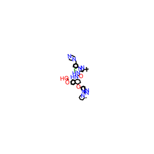 C[C@H]1CCCCN1c1nnc2ccc(O[C@@H]3CC[C@H](NC(=O)Nc4cc(C(C)(C)C)nn4-c4cc(CN5CCN(C)CC5)ccc4F)c4ccccc43)cn12.O=CO